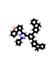 CC1(C)c2ccccc2-c2cc(-c3cc(-c4ccc5c(c4)-c4ccccc4C5(C)C)cc(-c4cc(-c5cccc6oc7ccccc7c56)nc(-c5ccccc5)n4)c3)ccc21